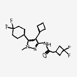 Cn1nc(NC(=O)C2CC(F)(F)C2)c(C2CCC2)c1C1CCC(F)(F)CC1